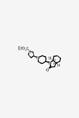 CCOC(=O)N1CCC(N2CCC(N3C(=O)C[C@H]4CCCC[C@@H]43)CC2)C1